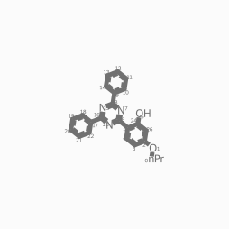 CCCOc1ccc(-c2nc(-c3ccccc3)nc(-c3ccccc3)n2)c(O)c1